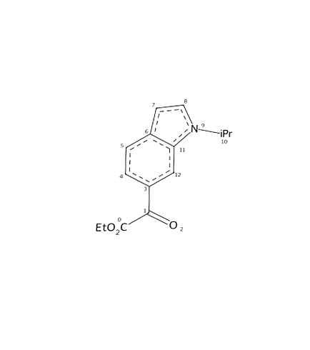 CCOC(=O)C(=O)c1ccc2ccn(C(C)C)c2c1